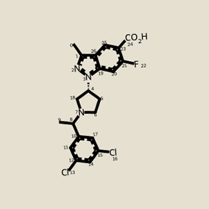 Cc1nn([C@@H]2CCN(C(C)c3cc(Cl)cc(Cl)c3)C2)c2cc(F)c(C(=O)O)cc12